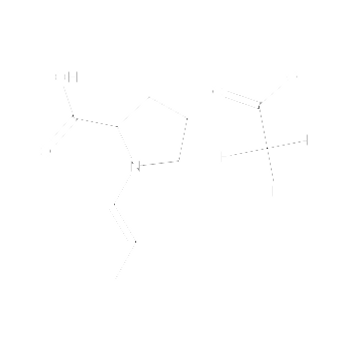 CC=CN1CCCC1C(=O)O.O=C(O)C(F)(F)F